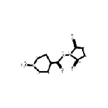 CN1CCC(C(=O)ON2C(=O)CCC2=O)CC1